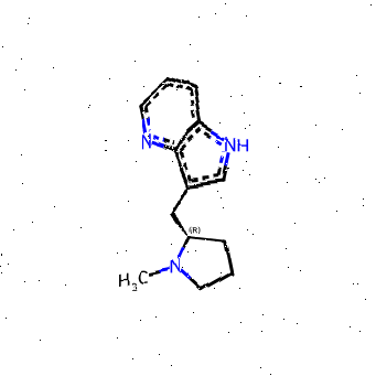 CN1CCC[C@@H]1Cc1c[nH]c2cccnc12